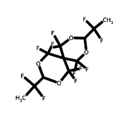 CC(F)(F)C1OC(F)(F)C2(C(F)(F)O1)C(F)(F)OC(C(C)(F)F)OC2(F)F